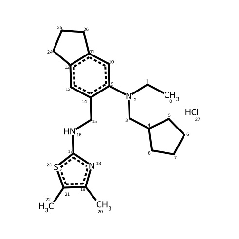 CCN(CC1CCCC1)c1cc2c(cc1CNc1nc(C)c(C)s1)CCC2.Cl